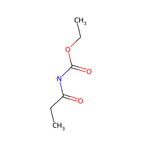 CCOC(=O)[N]C(=O)CC